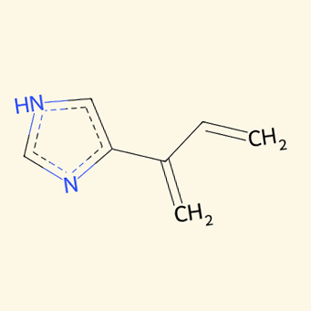 C=CC(=C)c1c[nH]cn1